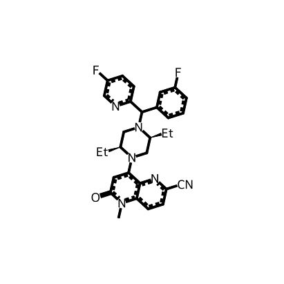 CC[C@H]1CN(C(c2cccc(F)c2)c2ccc(F)cn2)[C@@H](CC)CN1c1cc(=O)n(C)c2ccc(C#N)nc12